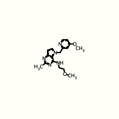 COCCNc1nc(C)nc2ccn(Cc3cc(OC)ccn3)c12